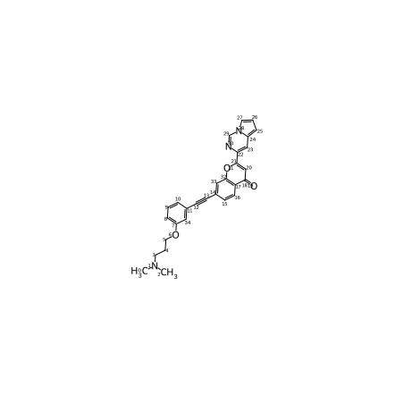 CN(C)CCCOc1cccc(C#Cc2ccc3c(=O)cc(-c4cc5cccn5cn4)oc3c2)c1